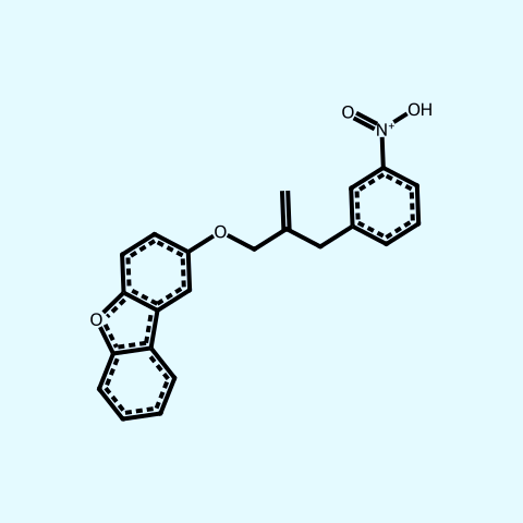 C=C(COc1ccc2oc3ccccc3c2c1)Cc1cccc([N+](=O)O)c1